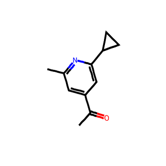 CC(=O)c1cc(C)nc(C2CC2)c1